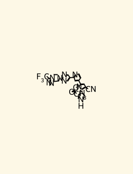 N#Cc1cc(-c2ccnc(-c3cnc(N4CCn5c(nnc5C(F)(F)F)C4)nc3)c2)n(OC(=O)C(F)(F)F)c1N1CCNCC1